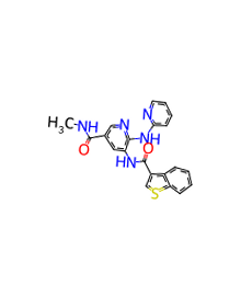 CNC(=O)c1cnc(Nc2ccccn2)c(NC(=O)c2csc3ccccc23)c1